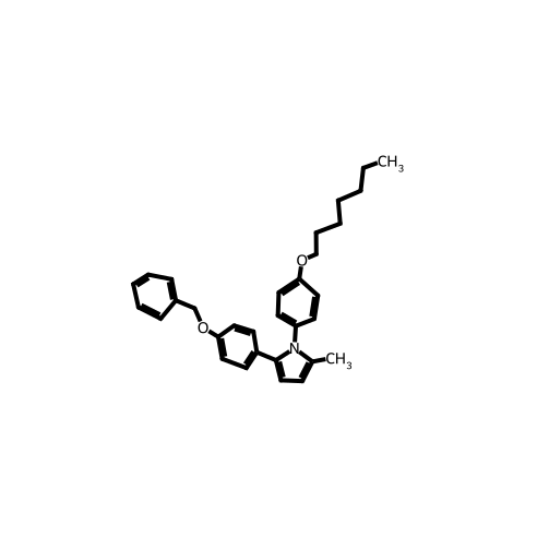 CCCCCCCOc1ccc(-n2c(C)ccc2-c2ccc(OCc3ccccc3)cc2)cc1